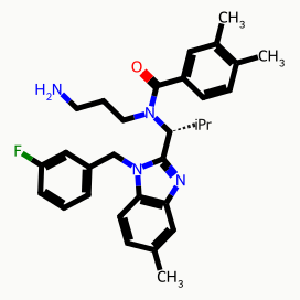 Cc1ccc2c(c1)nc([C@@H](C(C)C)N(CCCN)C(=O)c1ccc(C)c(C)c1)n2Cc1cccc(F)c1